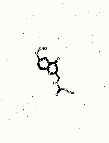 CC(C)(C)OC(=O)NCc1cc(=O)c2cc(OC=O)ccc2o1